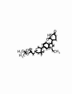 CCn1nc(C2CCC(=O)NC2=O)c2ccc(C3CCN(CC(=O)OC(C)(C)C)CC3(F)F)cc21